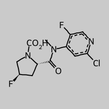 CN(C(=O)[C@@H]1C[C@@H](F)CN1C(=O)O)c1cc(Cl)ncc1F